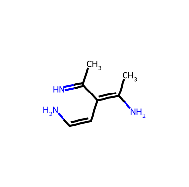 CC(=N)C(/C=C\N)=C(\C)N